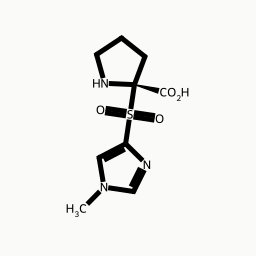 Cn1cnc(S(=O)(=O)[C@@]2(C(=O)O)CCCN2)c1